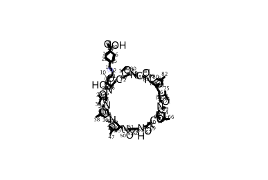 CC[C@@H]1CC(=O)[C@H]([C@H](O)[C@H](C)C/C=C/c2ccc(C(=O)O)cc2)N(C)C(=O)[C@H](C(C)C)N(C)C(=O)[C@H](CC(C)C)N(C)C(=O)C(CC(C)C)N(C)C(=O)[C@@H](C)NC(=O)[C@H](C)CC(=O)[C@H](CC(C)C)N(C)C(=O)[C@H](C(C)C)CC(=O)[C@H](CC(C)C)N(C)C(=O)CN(C)C1=O